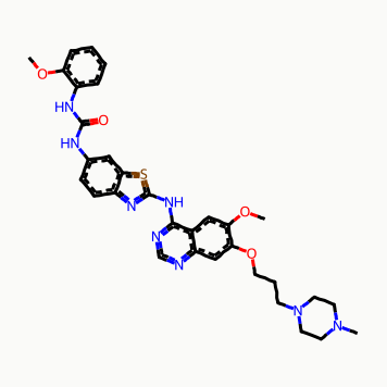 COc1ccccc1NC(=O)Nc1ccc2nc(Nc3ncnc4cc(OCCCN5CCN(C)CC5)c(OC)cc34)sc2c1